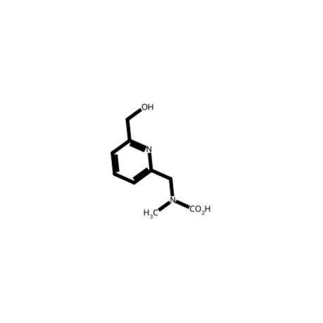 CN(Cc1cccc(CO)n1)C(=O)O